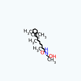 CC1=C(/C=C/C(C)=C/C=C/C(C)=C/C(=O)NCC(C)O)C(C)(C)CCC1